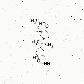 CN1COC2CCC(C(C)(C)C3CC[C@H]4OCNCC4C3)C[C@@H]2C1